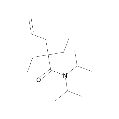 C=CCC(CC)(CC)C(=O)N(C(C)C)C(C)C